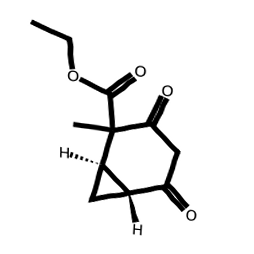 CCOC(=O)C1(C)C(=O)CC(=O)[C@@H]2C[C@H]21